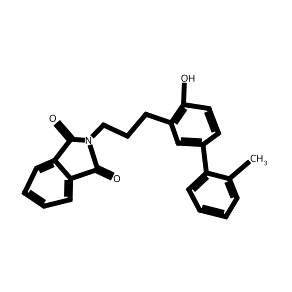 Cc1ccccc1-c1ccc(O)c(CCCN2C(=O)c3ccccc3C2=O)c1